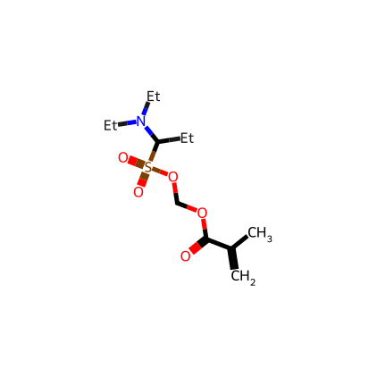 C=C(C)C(=O)OCOS(=O)(=O)C(CC)N(CC)CC